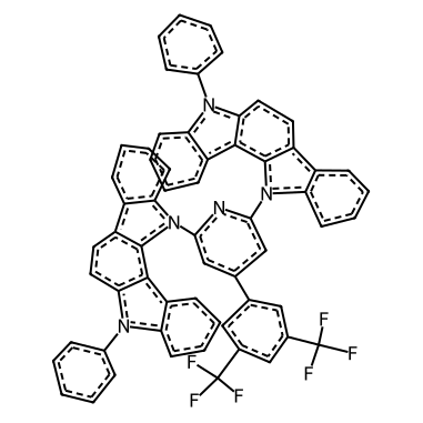 FC(F)(F)c1cc(-c2cc(-n3c4ccccc4c4ccc5c(c6ccccc6n5-c5ccccc5)c43)nc(-n3c4ccccc4c4ccc5c(c6ccccc6n5-c5ccccc5)c43)c2)cc(C(F)(F)F)c1